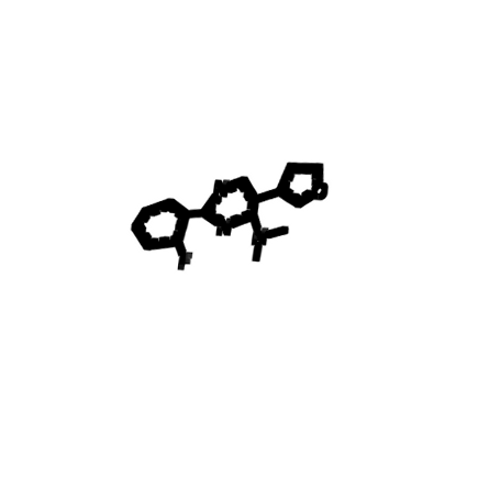 CN(C)c1nc(-c2ccccc2F)ncc1-c1ccoc1